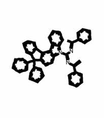 C=C(/N=C(\N=C(/C)c1ccccc1)n1c2ccccc2c2c3c(ccc21)C(c1ccccc1)(c1ccccc1)c1ccccc1-3)c1ccccc1